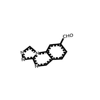 O=Cc1ccc2cnc3nncn3c2c1